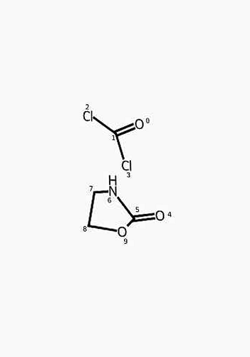 O=C(Cl)Cl.O=C1NCCO1